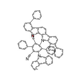 N#Cc1c(-c2ccccc2)c(C#N)c(-n2c3c(ccc4c5ccccc5sc43)c3ccc4c(sc5cccc(-c6ccccc6)c54)c32)c(-c2ccccc2)c1-n1c2ccccc2c2ccccc21